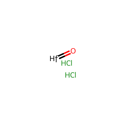 Cl.Cl.[O]=[Hf]